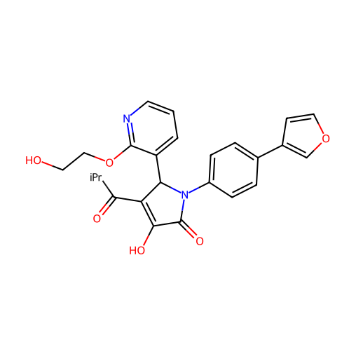 CC(C)C(=O)C1=C(O)C(=O)N(c2ccc(-c3ccoc3)cc2)C1c1cccnc1OCCO